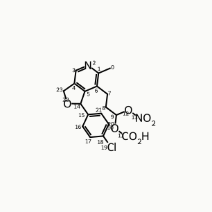 Cc1ncc2c(c1CCC(OC(=O)O)O[N+](=O)[O-])C(c1ccc(Cl)cc1)OC2